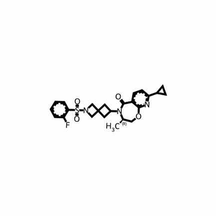 C[C@@H]1COc2nc(C3CC3)ccc2C(=O)N1C1CC2(C1)CN(S(=O)(=O)c1ccccc1F)C2